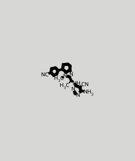 C[C@H](Nc1ncnc(N)c1C#N)c1nc2cccc(-c3ccc(C#N)cc3)c2n1C